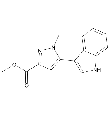 COC(=O)c1cc(-c2c[nH]c3ccccc23)n(C)n1